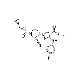 N#C[C@H]1CN(C(=O)OCC2CC2)CC[C@@H]1n1cc(C(N)=O)c(Nc2ccc(F)cc2)n1